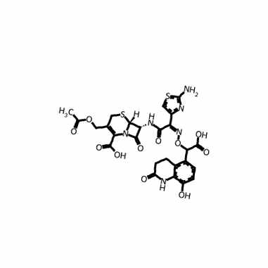 CC(=O)OCC1=C(C(=O)O)N2C(=O)[C@@H](NC(=O)/C(=N\OC(C(=O)O)c3ccc(O)c4c3CCC(=O)N4)c3csc(N)n3)[C@H]2SC1